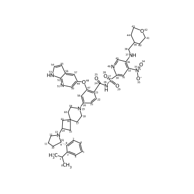 CC(C)c1ccccc1[C@@H]1CCCN1C1CC2(CCN(c3ccc(C(=O)NS(=O)(=O)c4cc([N+](=O)[O-])c(NCC5CCOCC5)cn4)c(Oc4cnc5[nH]ccc5c4)c3)CC2)C1